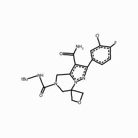 CC(C)(C)NC(=O)N1Cc2c(C(N)=O)c(-c3ccc(F)c(Cl)c3)nn2C2(COC2)C1